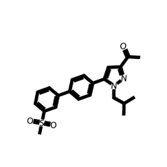 CC(=O)c1cc(-c2ccc(-c3cccc(S(C)(=O)=O)c3)cc2)n(CC(C)C)n1